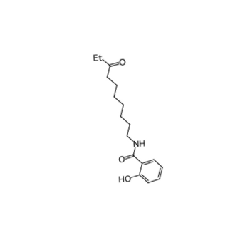 CCC(=O)CCCCCCCNC(=O)c1ccccc1O